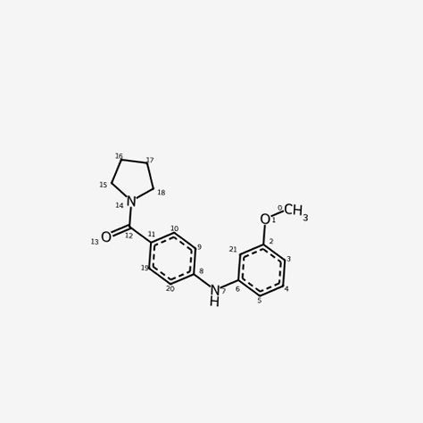 COc1cccc(Nc2ccc(C(=O)N3CCCC3)cc2)c1